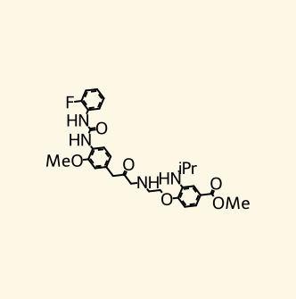 COC(=O)c1ccc(OCCNCC(=O)Cc2ccc(NC(=O)Nc3ccccc3F)c(OC)c2)c(NC(C)C)c1